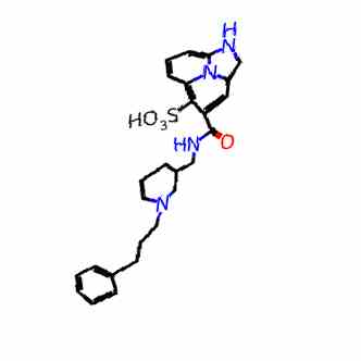 O=C(NCC1CCCN(CCCc2ccccc2)C1)C1=CC2CNC3=CC=CC(=C1S(=O)(=O)O)N32